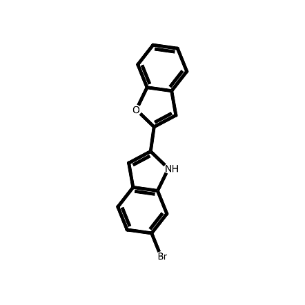 Brc1ccc2cc(-c3cc4ccccc4o3)[nH]c2c1